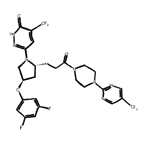 O=C(CC[C@@H]1C[C@@H](Oc2cc(F)cc(F)c2)CN1c1cc(C(F)(F)F)c(=O)[nH]n1)N1CCN(c2ncc(C(F)(F)F)cn2)CC1